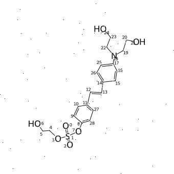 O=S(=O)(OCCO)Oc1ccc(C=Cc2ccc(N(CCO)CCO)cc2)cc1